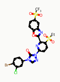 CCS(=O)(=O)c1ccc(-n2ncn(-c3ccc(Br)c(Cl)c3)c2=O)nc1-c1nc2cc(S(=O)(=O)C(F)(F)F)ccc2o1